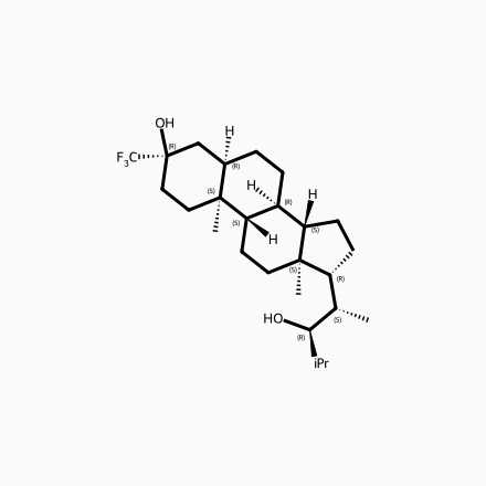 CC(C)[C@@H](O)[C@@H](C)[C@H]1CC[C@H]2[C@@H]3CC[C@@H]4C[C@@](O)(C(F)(F)F)CC[C@]4(C)[C@H]3CC[C@]12C